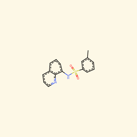 Cc1cccc(S(=O)(=O)Nc2cccc3cccnc23)c1